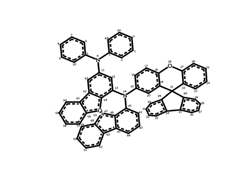 c1ccc(N(c2ccccc2)c2cc(N(c3ccc4c(c3)C3(c5ccccc5O4)c4ccccc4-c4ccccc43)c3cccc4c3sc3ccccc34)c3oc4ccccc4c3c2)cc1